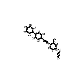 Cc1cc(N=C=S)ccc1C#Cc1ccc(-c2ccccc2)cc1